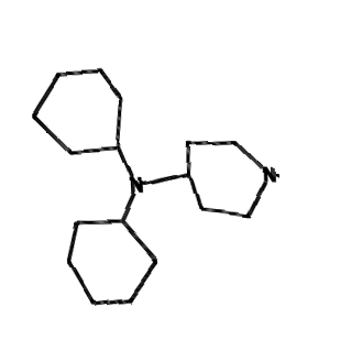 C1CCC(N(C2CCCCC2)C2CC[N]CC2)CC1